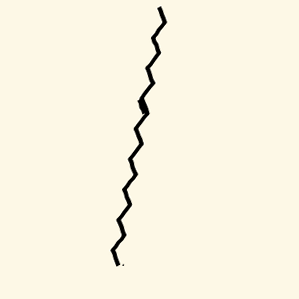 [CH2]CCCCCCCCCC=CCCCCCC